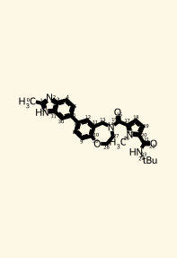 Cc1nc2ccc(-c3ccc4c(c3)CN(C(=O)c3ccc(C(=O)NC(C)(C)C)n3C)CCO4)cc2[nH]1